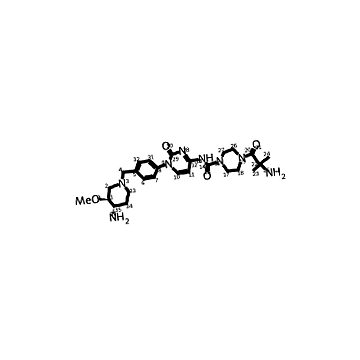 CO[C@H]1CN(Cc2ccc(-n3ccc(NC(=O)N4CCN(C(=O)C(C)(C)N)CC4)nc3=O)cc2)CC[C@@H]1N